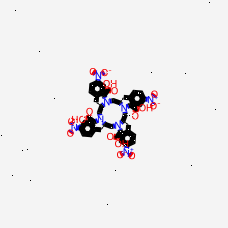 O=C(O)CN1C[C@H](Cc2ccc([N+](=O)[O-])cc2)N(CC(=O)O)C[C@H](Cc2ccc([N+](=O)[O-])cc2)N(CC(=O)O)C[C@H](Cc2ccc([N+](=O)[O-])cc2)N(CC(=O)O)C[C@@H]1Cc1ccc([N+](=O)[O-])cc1